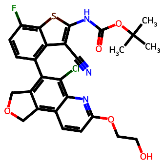 CC(C)(C)OC(=O)Nc1sc2c(F)ccc(-c3c4c(c5ccc(OCCO)nc5c3Cl)COC4)c2c1C#N